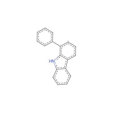 [c]1ccc2c([nH]c3ccccc32)c1-c1ccccc1